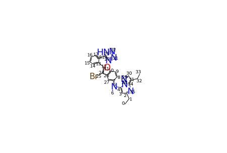 CCc1cc(N(C)c2ccc3oc(-c4ccccc4-c4nnn[nH]4)c(Br)c3c2)n2ncc(CC)c2n1